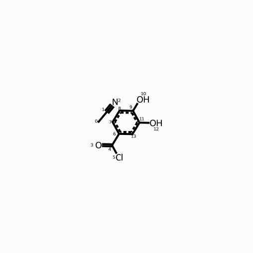 CC#N.O=C(Cl)c1ccc(O)c(O)c1